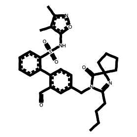 CCCCC1=NC2(CCCC2)C(=O)N1Cc1ccc(-c2ccccc2S(=O)(=O)Nc2onc(C)c2C)c(C=O)c1